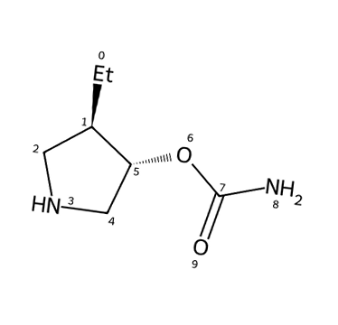 CC[C@@H]1CNC[C@H]1OC(N)=O